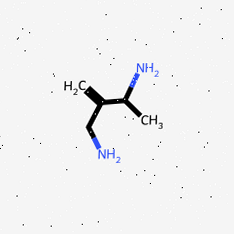 C=C(CN)C(C)N